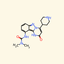 CN(C)C(=O)Nc1cccc2nn3c(C4CCNCC4)cc(=O)[nH]c3c12